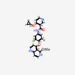 COc1nccc2nccc(Oc3c(F)cc(NC(=O)c4cnccc4OC4CC4)cc3F)c12